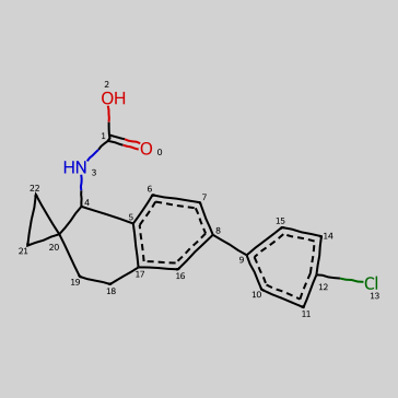 O=C(O)NC1c2ccc(-c3ccc(Cl)cc3)cc2CCC12CC2